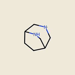 C1CC2C[N]CC1CN2